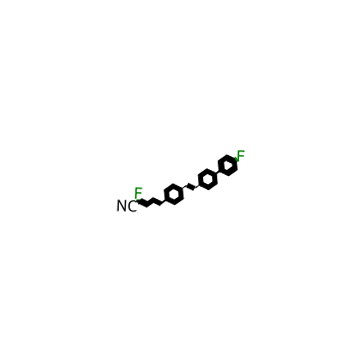 N#CC(F)=CCC[C@H]1CC[C@H](CC[C@H]2CC[C@H](c3ccc(F)cc3)CC2)CC1